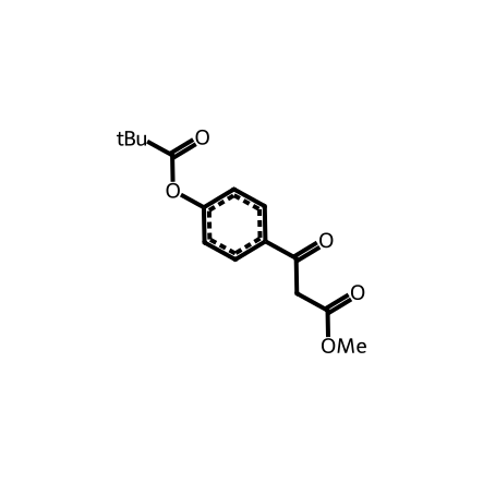 COC(=O)CC(=O)c1ccc(OC(=O)C(C)(C)C)cc1